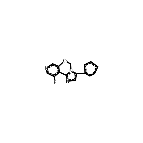 Fc1cncc2c1-c1ncc(-c3ccccc3)n1CO2